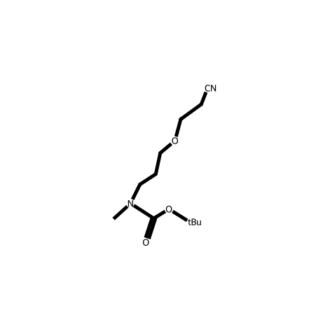 CN(CCCOCCC#N)C(=O)OC(C)(C)C